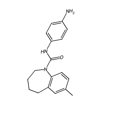 Cc1ccc2c(c1)CCCCN2C(=O)Nc1ccc(N)cc1